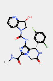 CNC(=O)c1nc(NC(=O)N2C[C@H](O)c3ncccc32)c2n1CC(=O)N[C@H]2c1cc(F)ccc1Cl